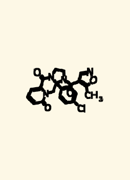 Cc1oncc1C(=O)N1CCN2C(=O)c3cccc(=O)n3CC12c1ccc(Cl)cc1